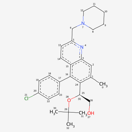 Cc1cc2nc(CN3CCCCC3)ccc2c(-c2ccc(Cl)cc2)c1[C@@H](CO)OC(C)(C)C